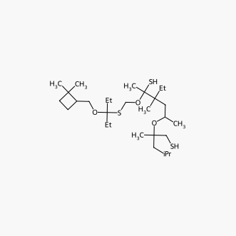 CCC(CC)(OCC1CCC1(C)C)SCOC(C)(S)C(C)(CC)CC(C)OC(C)(CS)CC(C)C